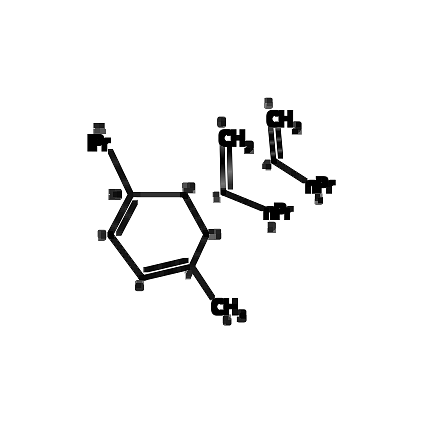 C=CCCC.C=CCCC.CC1=CC=C(C(C)C)CC1